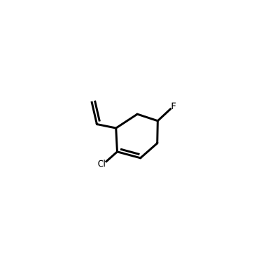 C=CC1CC(F)CC=C1Cl